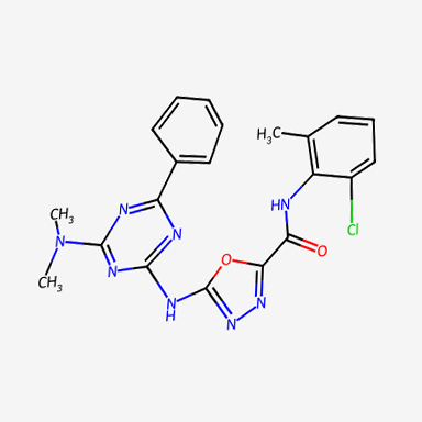 Cc1cccc(Cl)c1NC(=O)c1nnc(Nc2nc(-c3ccccc3)nc(N(C)C)n2)o1